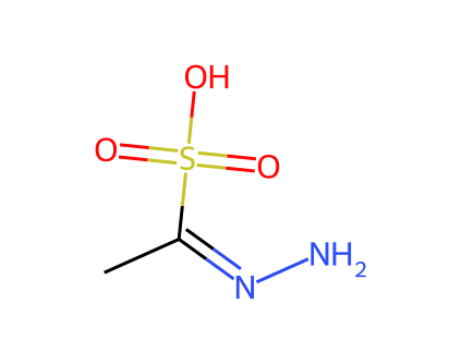 CC(=NN)S(=O)(=O)O